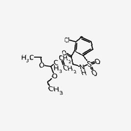 C=C.CCOC(C)OCC.O=C1CNS(=O)(=O)c2cccc(Cl)c21